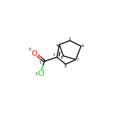 O=C(Cl)C1=C2CCC(C2)C1